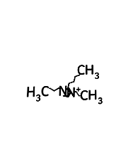 CCCCCc1n(CCCC)cc[n+]1CCC